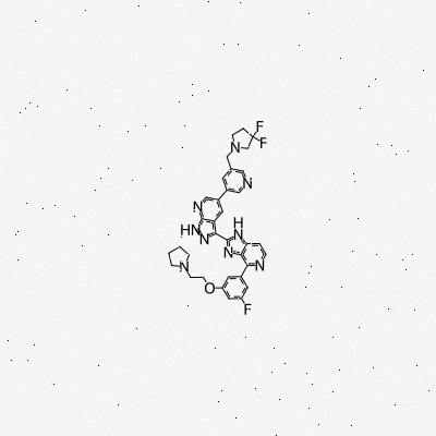 Fc1cc(OCCN2CCCC2)cc(-c2nccc3[nH]c(-c4n[nH]c5ncc(-c6cncc(CN7CCC(F)(F)C7)c6)cc45)nc23)c1